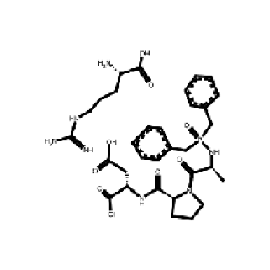 C[C@H](NP(=O)(Cc1ccccc1)Cc1ccccc1)C(=O)N1CCC[C@H]1C(=O)N[C@@H](CC(=O)O)C(=O)O.N=C(N)NCCC[C@H](N)C(=O)O